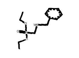 CCOP(=O)(CNCc1ccccc1)OCC